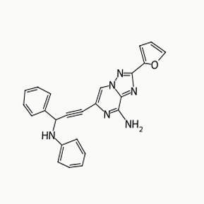 Nc1nc(C#CC(Nc2ccccc2)c2ccccc2)cn2nc(-c3ccco3)nc12